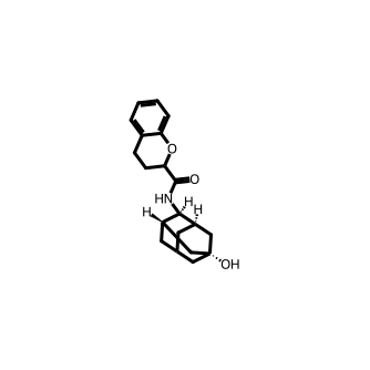 O=C(N[C@H]1[C@@H]2CC3C[C@H]1C[C@](O)(C3)C2)C1CCc2ccccc2O1